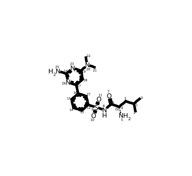 CC(C)C[C@H](N)C(=O)NS(=O)(=O)c1cccc(-c2cc(N(C)C)nc(N)n2)c1